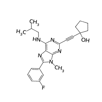 CC(C)CNc1nc(C#CC2(O)CCCC2)nc2c1nc(-c1cccc(F)c1)n2C